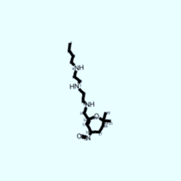 CCCCNCCNCCNCC1=CC(N=O)CCC(C)(C)O1